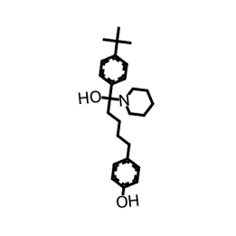 CC(C)(C)c1ccc(C(O)(CCCCc2ccc(O)cc2)N2CCCCC2)cc1